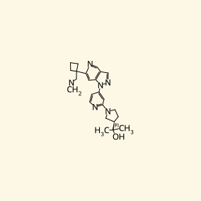 C=NCC1(c2cc3c(cn2)cnn3-c2ccnc(N3CC[C@@H](C(C)(C)O)C3)c2)CCC1